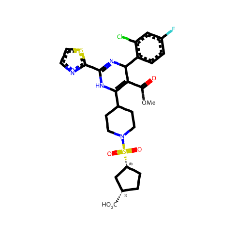 COC(=O)C1=C(C2CCN(S(=O)(=O)[C@@H]3CC[C@H](C(=O)O)C3)CC2)NC(c2nccs2)=NC1c1ccc(F)cc1Cl